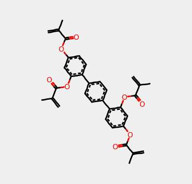 C=C(C)C(=O)Oc1ccc(-c2ccc(-c3ccc(OC(=O)C(=C)C)cc3OC(=O)C(=C)C)cc2)c(OC(=O)C(=C)C)c1